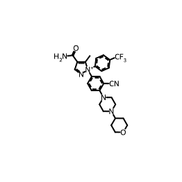 CC1=C(C(N)=O)C=N[N+]1(c1ccc(C(F)(F)F)cc1)c1ccc(N2CCN(C3CCOCC3)CC2)c(C#N)c1